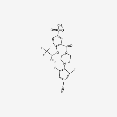 CC(Oc1ccc(S(C)(=O)=O)cc1C(=O)N1CCN(c2c(F)cc(C#N)cc2F)CC1)C(F)(F)F